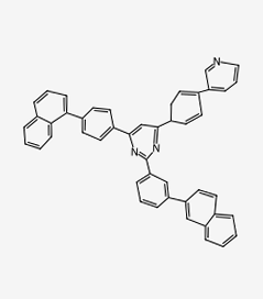 C1=CC(c2cc(-c3ccc(-c4cccc5ccccc45)cc3)nc(-c3cccc(-c4ccc5ccccc5c4)c3)n2)CC=C1c1cccnc1